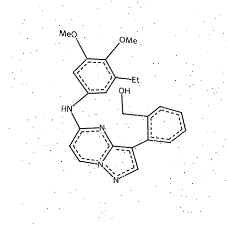 CCc1cc(Nc2ccn3ncc(-c4ccccc4CO)c3n2)cc(OC)c1OC